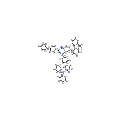 CC1(C)c2ccccc2-c2c(-c3ccc4nc(-c5ccc(-c6ccccc6)cc5)nc(-c5ccc(-c6cccc7c6c6ccccc6n7-c6ccccc6)cc5)c4c3)cccc21